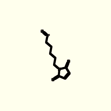 O=[S+]CCCCCN1C(=O)C=CC1=O